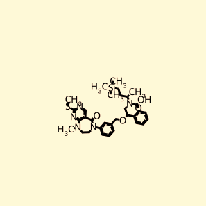 CSc1ncc2c(n1)N(C)CCN(c1cccc(COC(CN(C(=O)O)C(C)CC[Si](C)(C)C)c3ccccc3)c1)C2=O